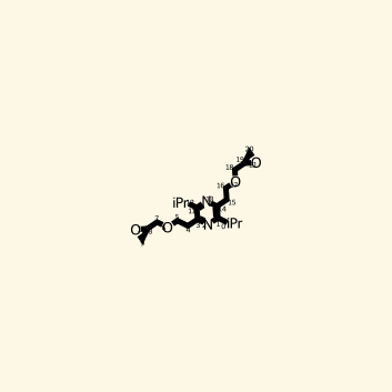 CC(C)c1nc(CCOCC2CO2)c(C(C)C)nc1CCOCC1CO1